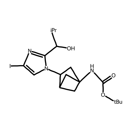 CC(C)C(O)c1nc(I)cn1C1CC2(NC(=O)OC(C)(C)C)CC1C2